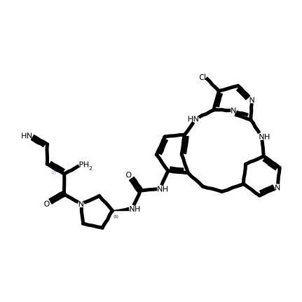 N=C/C=C(\P)C(=O)N1CC[C@H](NC(=O)Nc2ccc3cc2CCC2C=NC=C(C2)Nc2ncc(Cl)c(n2)N3)C1